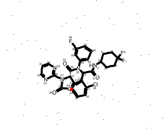 O=C(NC1CCC(F)(F)CC1)C(c1ccccc1Cl)N(C(=O)[C@@H]1COC(=O)N1c1ncccn1)c1cccc(F)c1